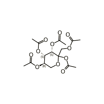 CC(=O)OCC1(OC(C)=O)OC[C@@H](OC(C)=O)[C@H](OC(C)=O)[C@@H]1OC(C)=O